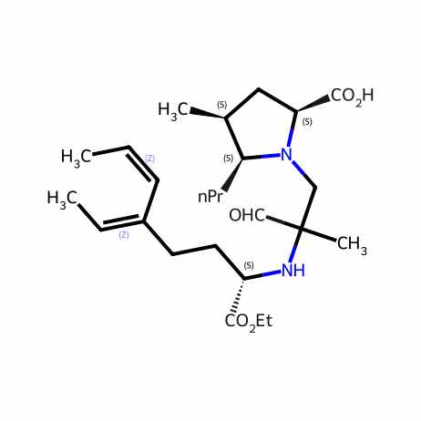 C/C=C\C(=C/C)CC[C@H](NC(C)(C=O)CN1[C@H](C(=O)O)C[C@H](C)[C@@H]1CCC)C(=O)OCC